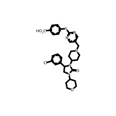 O=C(O)c1ccc(Sc2ncc(CN3CCC(N4C(=O)N(C5CCOCC5)CC4c4cccc(Cl)c4)CC3)cn2)cc1